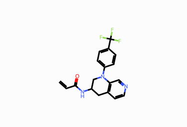 C=CC(=O)NC1Cc2ccncc2N(c2ccc(C(F)(F)F)cc2)C1